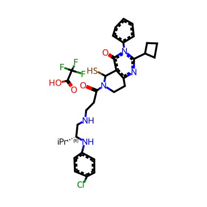 CC(C)[C@H](CNCCC(=O)N1CCc2nc(C3CCC3)n(-c3ccccc3)c(=O)c2C1S)Nc1ccc(Cl)cc1.O=C(O)C(F)(F)F